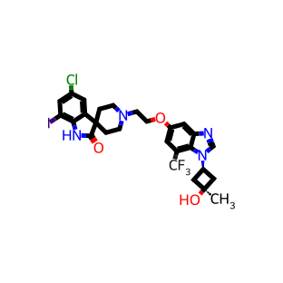 C[C@]1(O)C[C@@H](n2cnc3cc(OCCN4CCC5(CC4)C(=O)Nc4c(I)cc(Cl)cc45)cc(C(F)(F)F)c32)C1